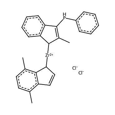 CC1=C(Pc2ccccc2)c2ccccc2[CH]1[Zr+2][CH]1C=Cc2c(C)ccc(C)c21.[Cl-].[Cl-]